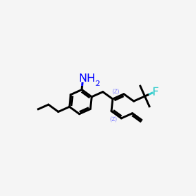 C=C/C=C\C(=C/CC(C)(C)F)Cc1ccc(CCC)cc1N